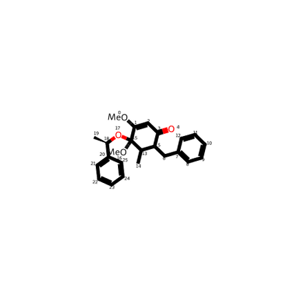 COC1=CC(=O)C(Cc2ccccc2)C(C)C1(OC)O[C@H](C)c1ccccc1